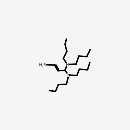 CCCCN(CCCC)C(C=C[SiH3])N(CCCC)CCCC